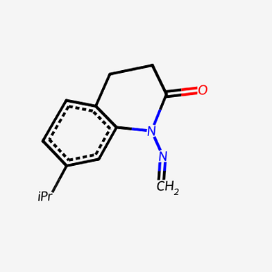 C=NN1C(=O)CCc2ccc(C(C)C)cc21